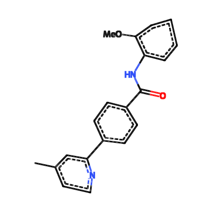 COc1ccccc1NC(=O)c1ccc(-c2cc(C)ccn2)cc1